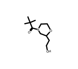 CC(C)(C)C(=O)N1CCOC(CCO)C1